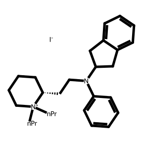 CCC[N+]1(CCC)CCCC[C@@H]1CCN(c1ccccc1)C1Cc2ccccc2C1.[I-]